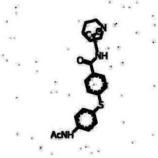 CC(=O)Nc1ccc(Sc2ccc(C(=O)NC3CC4CCN(CC4)C3)cc2)cc1